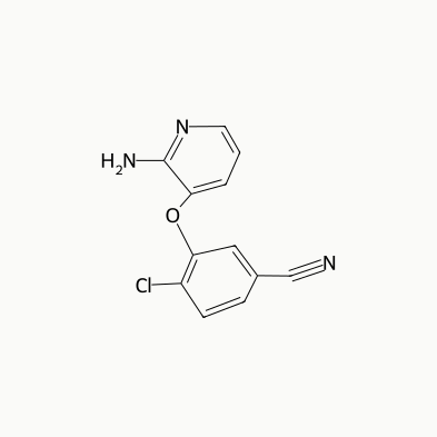 N#Cc1ccc(Cl)c(Oc2cccnc2N)c1